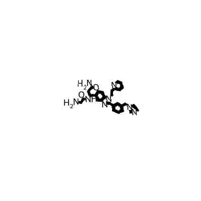 NCC(=O)NC(CC(N)=O)c1ccc2c(c1)nc(-c1cccc(Cn3ccnc3)c1)n2CCc1ccccn1